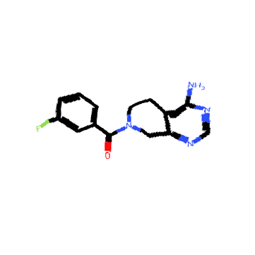 Nc1ncnc2c1CCN(C(=O)c1cccc(F)c1)C2